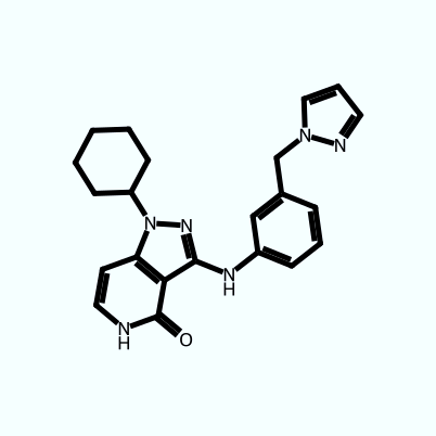 O=c1[nH]ccc2c1c(Nc1cccc(Cn3cccn3)c1)nn2C1CCCCC1